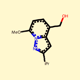 COc1ccc(CO)c2cc(C(C)C)nn12